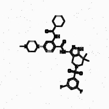 CN1CCN(c2ccc(C(=O)Nc3n[nH]c4c3CN(S(=O)(=O)c3cc(F)cc(F)c3)CC4(C)C)c(NC(=O)C3CCCCC3)c2)CC1